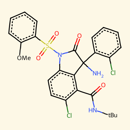 COc1ccccc1S(=O)(=O)N1C(=O)C(N)(c2ccccc2Cl)c2c1ccc(Cl)c2C(=O)NC(C)(C)C